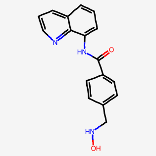 O=C(Nc1cccc2cccnc12)c1ccc(CNO)cc1